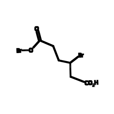 O=C(O)CC(Br)CCC(=O)OBr